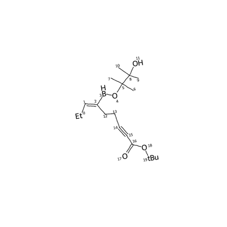 CC/C=C(/BOC(C)(C)C(C)(C)O)CCC#CC(=O)OC(C)(C)C